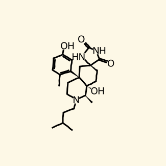 Cc1ccc(O)cc1[C@]12CCN(CCC(C)C)[C@H](C)[C@]1(O)CC[C@@]1(C2)NC(=O)NC1=O